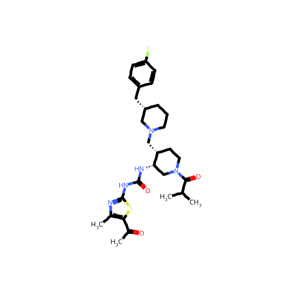 CC(=O)c1sc(NC(=O)N[C@H]2CN(C(=O)C(C)C)CC[C@H]2CN2CCC[C@@H](Cc3ccc(F)cc3)C2)nc1C